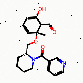 CC1(OC[C@@H]2CCCCN2C(=O)c2cccnc2)C=CC=C(O)C1C=O